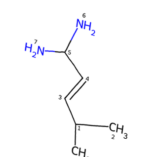 CC(C)C=CC(N)N